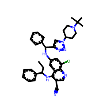 CCC(Nc1c(C#N)cnc2c(Cl)cc(NC(c3ccccc3)c3cn(C4CCN(C(C)(C)C)CC4)nn3)cc12)c1ccccc1